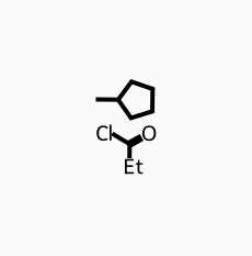 CC1CCCC1.CCC(=O)Cl